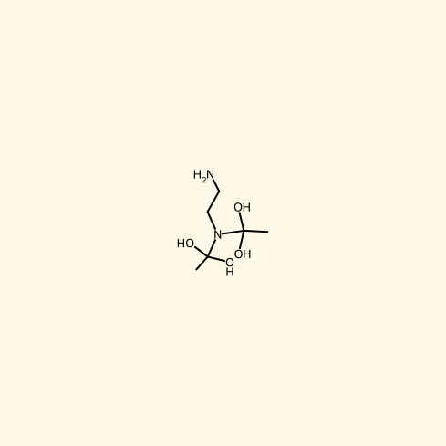 CC(O)(O)N(CCN)C(C)(O)O